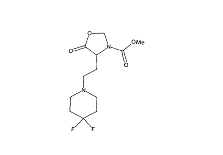 COC(=O)N1COC(=O)C1CCN1CCC(F)(F)CC1